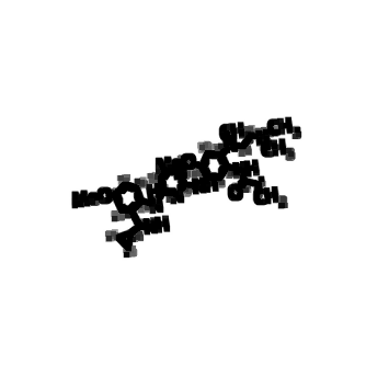 C=CC(=O)Nc1cc(Nc2nccc(Nc3ccc(OC)cc3C(=N)C3CC3)n2)c(OC)cc1N(C)CCN(C)C